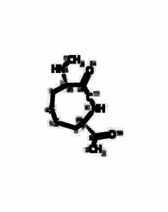 CN[C@H]1CSSC[C@@H](C(C)=O)NCC1=O